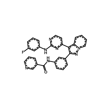 O=C(Nc1cccc(-c2nn3ccccc3c2-c2ccnc(Nc3cccc(F)c3)n2)c1)c1cccnc1